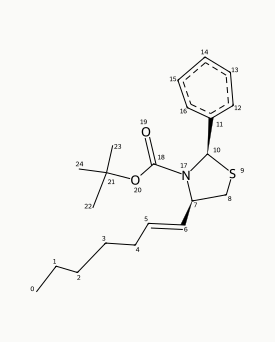 CCCCCC=C[C@@H]1CS[C@H](c2ccccc2)N1C(=O)OC(C)(C)C